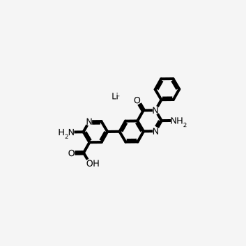 Nc1ncc(-c2ccc3nc(N)n(-c4ccccc4)c(=O)c3c2)cc1C(=O)O.[Li]